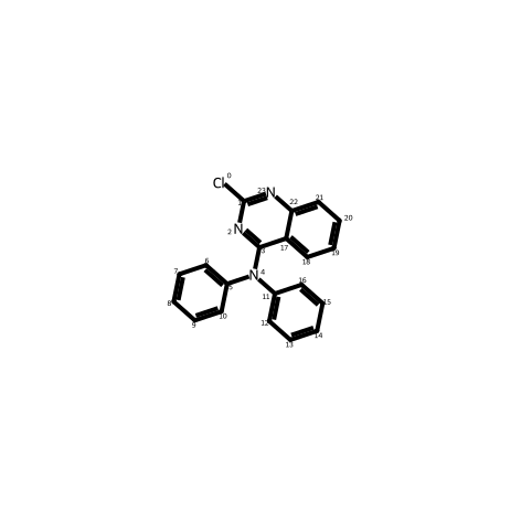 Clc1nc(N(c2ccccc2)c2ccccc2)c2ccccc2n1